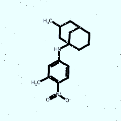 Cc1cc(NC23CCCC(CC(C)C2)C3)ccc1[N+](=O)[O-]